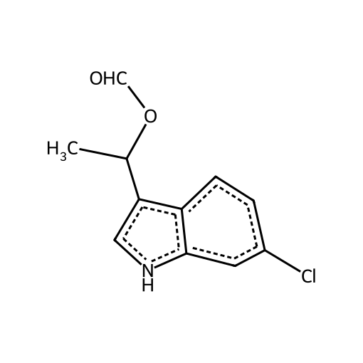 CC(OC=O)c1c[nH]c2cc(Cl)ccc12